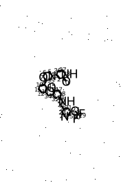 O=c1cc(N2CCOC(c3cccc4c3Oc3ccc(NCc5cncc(OC(F)F)c5)cc3C4)C2)cc[nH]1